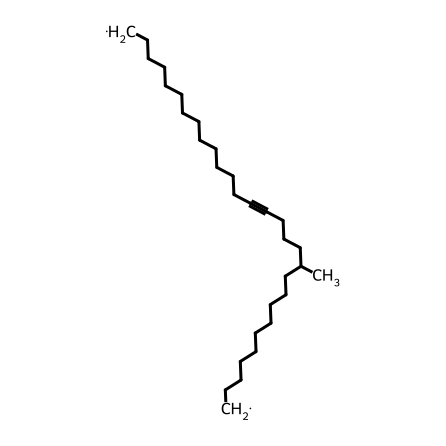 [CH2]CCCCCCCCCCCCC#CCCCC(C)CCCCCCCCC[CH2]